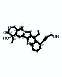 CCc1c2c(nc3cccc(C#CCO)c13)-c1cc3c(c(=O)n1C2)COC(=O)[C@]3(O)CC